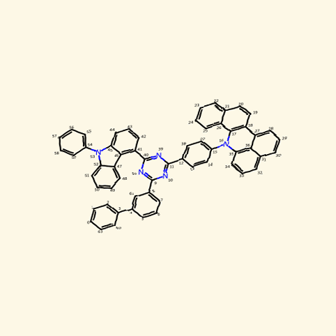 c1ccc(-c2cccc(-c3nc(-c4ccc(N5c6c(ccc7ccccc67)-c6cccc7cccc5c67)cc4)nc(-c4cccc5c4c4ccccc4n5-c4ccccc4)n3)c2)cc1